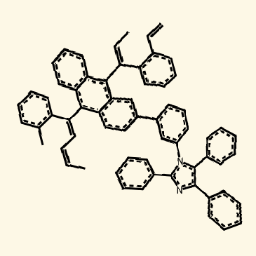 C=Cc1ccccc1/C(=C\C)c1c2ccccc2c(/C(=C/C=C\C)c2ccccc2C)c2ccc(-c3cccc(-n4c(-c5ccccc5)nc(-c5ccccc5)c4-c4ccccc4)c3)cc12